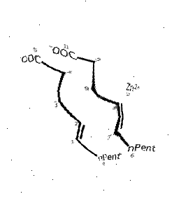 CCCCCC=CCCC(=O)[O-].CCCCCC=CCCC(=O)[O-].[Zn+2]